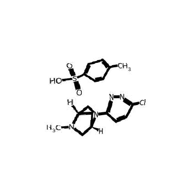 CN1C[C@@H]2C[C@H]1CN2c1ccc(Cl)nn1.Cc1ccc(S(=O)(=O)O)cc1